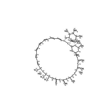 CC1OC(O[C@H]2/C=C/C=C/C=C/C=C/C=C/C=C/C=C/C(C)[C@@H](O)C(C)C(C)OC(=O)C[C@H](O)C[C@H](O)CC[C@@H](O)[C@H](O)C[C@H](O)C[C@]3(O)CC(O)[C@@H](C(=O)O)C(C2)O3)C(O)C(N)C1O